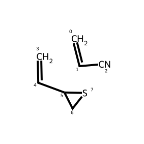 C=CC#N.C=CC1CS1